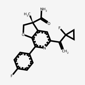 C=C(c1cc2c(c(-c3ccc(F)cc3)n1)OC[C@]2(C)C(N)=O)C1(F)CC1